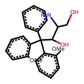 COc1ccccc1C(c1ccccc1)(c1ccccc1OC)C(O)C(N)CO